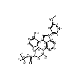 COc1cncc(-n2cc(-c3ccccc3F)c3c(N4CCN(C(=O)OC(C)(C)C)C[C@@H]4C)ncnc32)c1